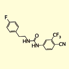 N#Cc1ccc(NC(=O)NCCc2ccc(F)cc2)cc1C(F)(F)F